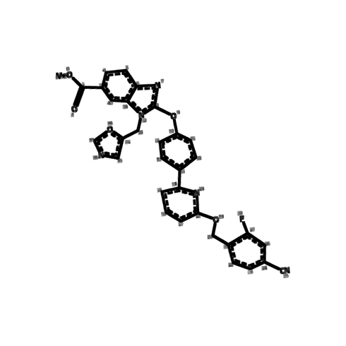 COC(=O)c1ccc2nc(Oc3ccc(-c4cccc(OCc5ccc(C#N)cc5F)n4)cc3)n(Cc3cnco3)c2c1